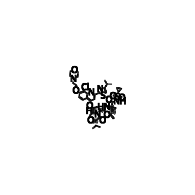 C=C[C@@H]1C[C@]1(NC(=O)[C@@H]1C[C@@H](Oc2cc(-c3nc(C(C)C)cs3)nc3c(Cl)c(OCCN4CCOCC4)ccc23)[C@H]2CO[C@@H](C(C)C)C(=O)N21)C(=O)NS(=O)(=O)C1CC1